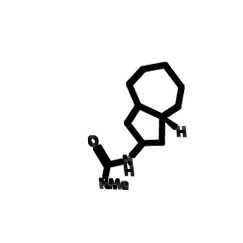 CNC(=O)NC1CC2CCCCC[C@@H]2C1